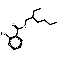 CCCCC(CC)COC(=O)c1ccccc1S